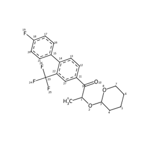 CC(OC1CCCCO1)C(=O)c1ccc(-c2ccc(F)cc2)c(C(F)(F)F)c1